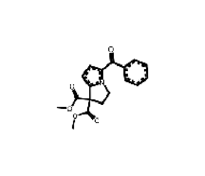 COC(=O)C1(C(=O)OC)CCn2c(C(=O)c3ccccc3)ccc21